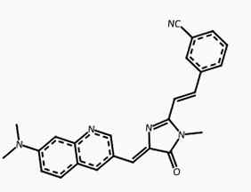 CN1C(=O)/C(=C/c2cnc3cc(N(C)C)ccc3c2)N=C1/C=C/c1cccc(C#N)c1